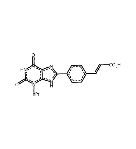 CCCn1c(=O)[nH]c(=O)c2nc(-c3ccc(/C=C/C(=O)O)cc3)[nH]c21